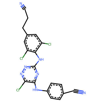 N#CCCc1cc(Cl)c(Nc2nnc(Cl)c(Nc3ccc(C#N)cc3)n2)c(Cl)c1